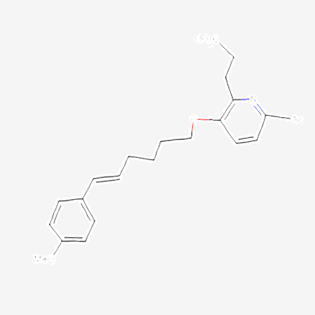 COc1ccc(C=CCCCCOc2ccc(C(C)=O)nc2CCC(=O)O)cc1